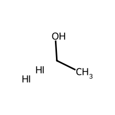 CCO.I.I